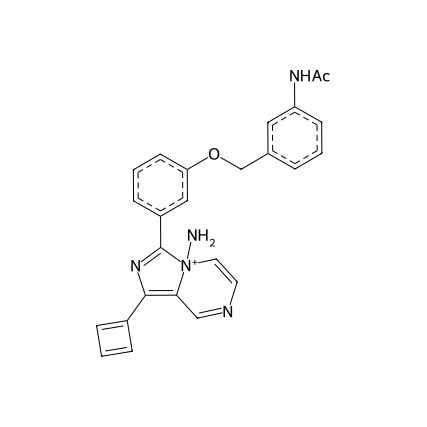 CC(=O)Nc1cccc(COc2cccc(C3=NC(C4=CC=C4)=C4C=NC=C[N+]34N)c2)c1